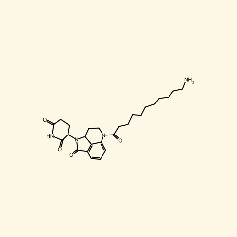 NCCCCCCCCCCC(=O)N1CCC2c3c(cccc31)C(=O)N2C1CCC(=O)NC1=O